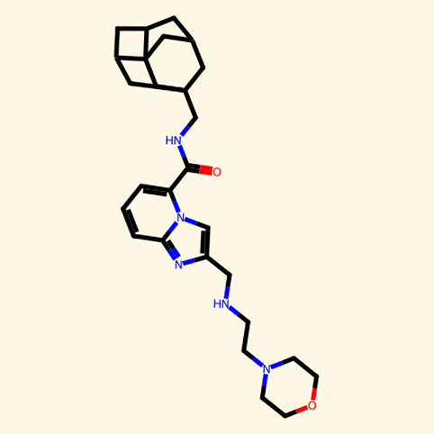 O=C(NCC12CC3CC4CC(C1)C4(C3)C2)c1cccc2nc(CNCCN3CCOCC3)cn12